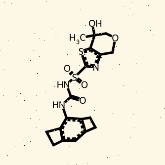 CC1(O)COCc2nc(S(=O)(=O)NC(=O)Nc3c4c(cc5c3CC5)CC4)sc21